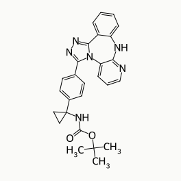 CC(C)(C)OC(=O)NC1(c2ccc(-c3nnc4n3-c3cccnc3Nc3ccccc3-4)cc2)CC1